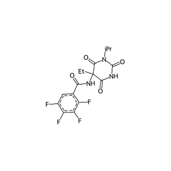 CCC1(NC(=O)c2cc(F)c(F)c(F)c2F)C(=O)NC(=O)N(C(C)C)C1=O